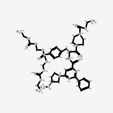 CCOC(=O)OCOP(=O)(OCOC(=O)OCC)c1ccc(C[C@H](NC(=O)c2cc(N3CC[C@H](OC)C3)nc(-c3ccccc3)n2)C(=O)N2CCN(C(=O)OCC)CC2)cc1